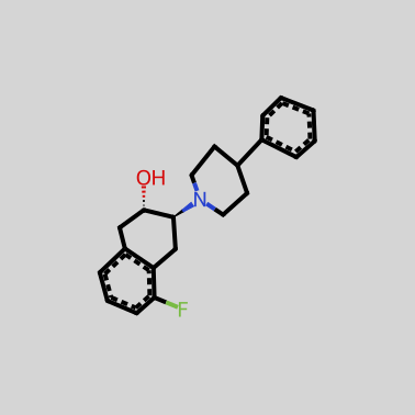 O[C@H]1Cc2cccc(F)c2C[C@@H]1N1CCC(c2ccccc2)CC1